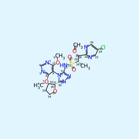 COc1ncnc(OC)c1-n1c(NS(=O)(=O)[C@@H](C)[C@H](OC)c2ncc(Cl)cn2)nnc1[C@H]1CCCO1